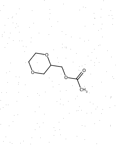 CC(=O)OCC1COCCO1